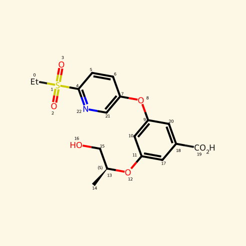 CCS(=O)(=O)c1ccc(Oc2cc(O[C@@H](C)CO)cc(C(=O)O)c2)cn1